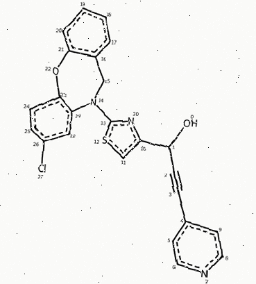 OC(C#Cc1ccncc1)c1csc(N2Cc3ccccc3Oc3ccc(Cl)cc32)n1